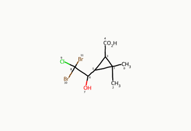 CC1(C)C(C(=O)O)C1C(O)C(Cl)(Br)Br